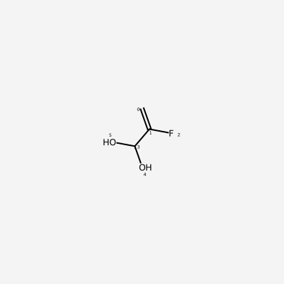 C=C(F)[C](O)O